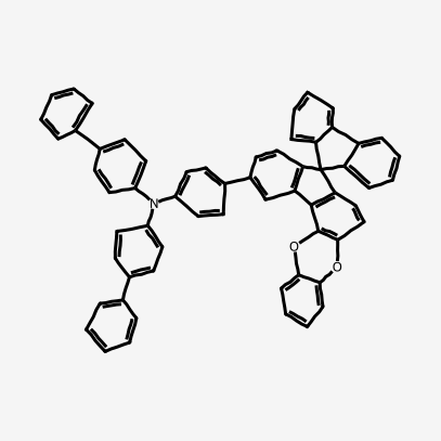 c1ccc(-c2ccc(N(c3ccc(-c4ccccc4)cc3)c3ccc(-c4ccc5c(c4)-c4c(ccc6c4Oc4ccccc4O6)C54c5ccccc5-c5ccccc54)cc3)cc2)cc1